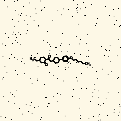 CCCCCCOc1ccc(C2CCC(CC(=O)C3CCC(CC)CC3=O)CC2)cc1